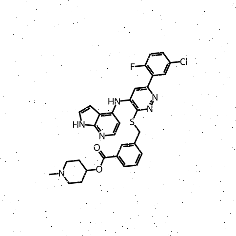 CN1CCC(OC(=O)c2cccc(CSc3nnc(-c4cc(Cl)ccc4F)cc3Nc3ccnc4[nH]ccc34)c2)CC1